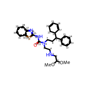 COC(CNCCN(CCC(c1ccccc1)C1C=CC=CC1)C(=O)Nc1nc2ccccc2s1)OC